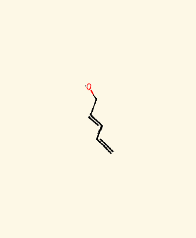 C=CC=CC[O]